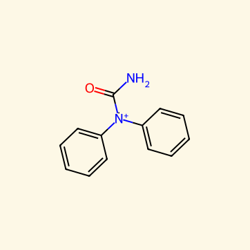 NC(=O)[N+](c1ccccc1)c1ccccc1